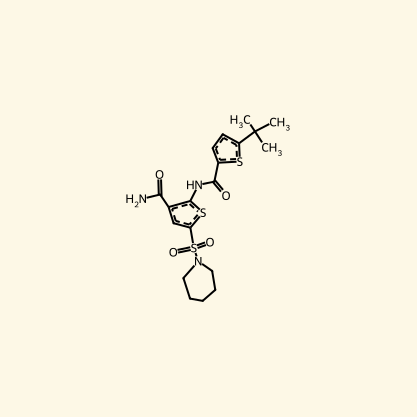 CC(C)(C)c1ccc(C(=O)Nc2sc(S(=O)(=O)N3CCCCC3)cc2C(N)=O)s1